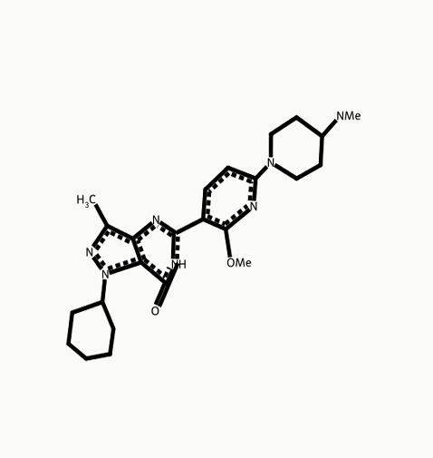 CNC1CCN(c2ccc(-c3nc4c(C)nn(C5CCCCC5)c4c(=O)[nH]3)c(OC)n2)CC1